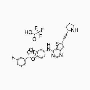 C[C@@H](Oc1ccc(Nc2ncnc3cc(C#C[C@H]4CCCN4)sc23)cc1Cl)c1cccc(F)c1.O=C(O)C(F)(F)F